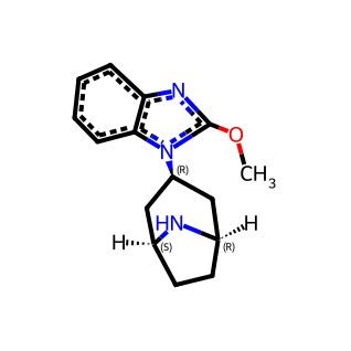 COc1nc2ccccc2n1[C@H]1C[C@H]2CC[C@@H](C1)N2